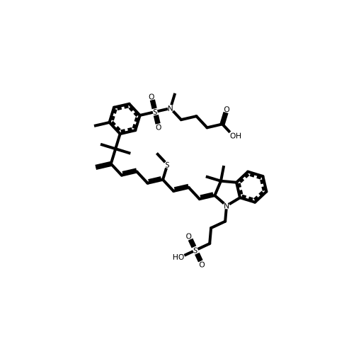 C=C(/C=C/C=C(/C=C/C=C1/N(CCCS(=O)(=O)O)c2ccccc2C1(C)C)SC)C(C)(C)c1cc(S(=O)(=O)N(C)CCCC(=O)O)ccc1C